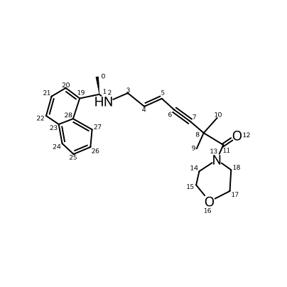 C[C@@H](NC/C=C/C#CC(C)(C)C(=O)N1CCOCC1)c1cccc2ccccc12